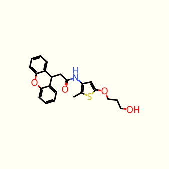 Cc1sc(OCCCO)cc1NC(=O)CC1c2ccccc2Oc2ccccc21